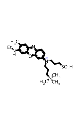 CCNc1cc2oc3c/c(=[N+](\CCC[N+](C)(C)C)CCCS(=O)(=O)O)ccc-3nc2cc1C